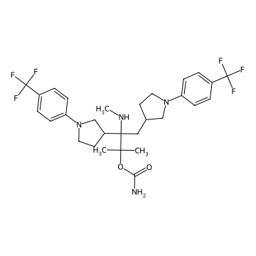 CNC(CC1CCN(c2ccc(C(F)(F)F)cc2)C1)(C1CCN(c2ccc(C(F)(F)F)cc2)C1)C(C)(C)OC(N)=O